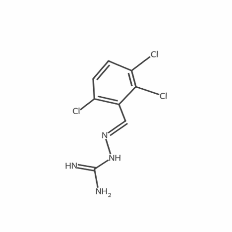 N=C(N)N/N=C/c1c(Cl)ccc(Cl)c1Cl